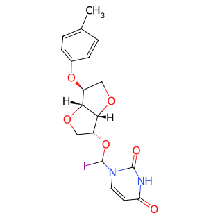 Cc1ccc(O[C@H]2CO[C@H]3[C@@H]2OC[C@H]3OC(I)n2ccc(=O)[nH]c2=O)cc1